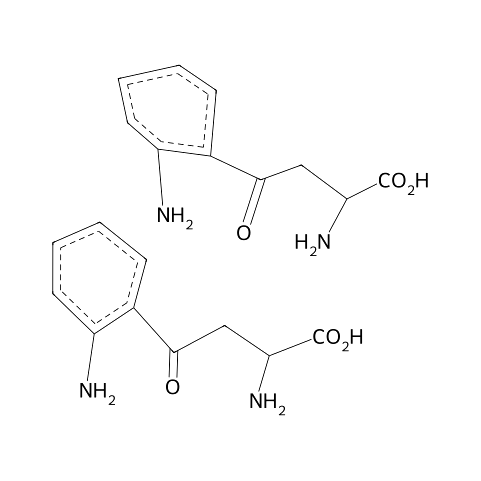 Nc1ccccc1C(=O)CC(N)C(=O)O.Nc1ccccc1C(=O)CC(N)C(=O)O